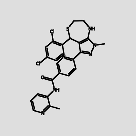 Cc1ncccc1NC(=O)c1ccc(-c2nn(C)c3c2C(c2ccc(Cl)cc2Cl)SCCN3)nc1